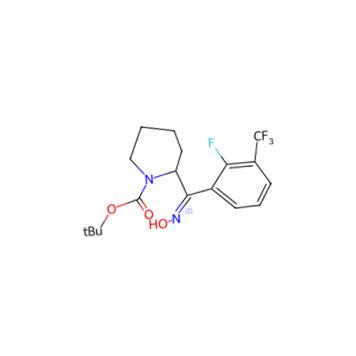 CC(C)(C)OC(=O)N1CCCCC1/C(=N\O)c1cccc(C(F)(F)F)c1F